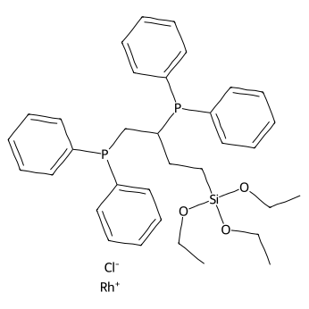 CCO[Si](CCC(CP(c1ccccc1)c1ccccc1)P(c1ccccc1)c1ccccc1)(OCC)OCC.[Cl-].[Rh+]